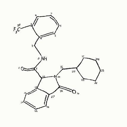 O=C(NCc1ccccc1C(F)(F)F)C1c2ccccc2C(=O)N1CC1CCCCC1